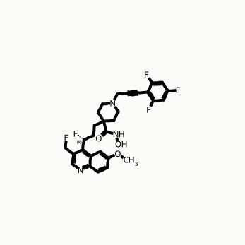 COc1ccc2ncc(CF)c([C@H](F)CCC3(C(=O)NO)CCN(CC#Cc4c(F)cc(F)cc4F)CC3)c2c1